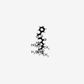 C[SiH2]OC(O[SiH2]C)C(C)(C)CC(NC(=O)O)C(=O)C1=COC=C(C2=CC=CCC2)O1